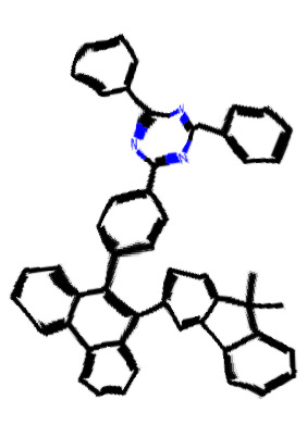 CC1(C)c2ccccc2-c2cc(-c3c(-c4ccc(-c5nc(-c6ccccc6)nc(-c6ccccc6)n5)cc4)c4ccccc4c4ccccc34)ccc21